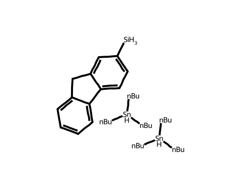 CCC[CH2][SnH]([CH2]CCC)[CH2]CCC.CCC[CH2][SnH]([CH2]CCC)[CH2]CCC.[SiH3]c1ccc2c(c1)Cc1ccccc1-2